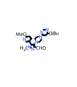 COc1ccc(-c2c(N3CCN(c4cc(OCC(C)C)ncn4)CC3)c(C=O)nn2C)cn1